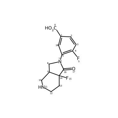 O=C(O)c1ccc(F)c(N2CC3CNCCC3(F)C2=O)c1